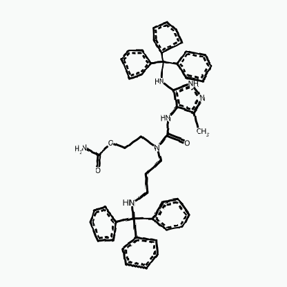 Cc1n[nH]c(NC(c2ccccc2)(c2ccccc2)c2ccccc2)c1NC(=O)N(CCCNC(c1ccccc1)(c1ccccc1)c1ccccc1)CCOC(N)=O